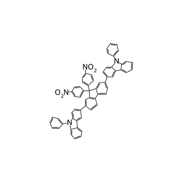 O=[N+]([O-])c1ccc(C2(c3ccc([N+](=O)[O-])cc3)c3cc(-c4ccc5c(c4)c4ccccc4n5-c4ccccc4)ccc3-c3ccc(-c4ccc5c(c4)c4ccccc4n5-c4ccccc4)cc32)cc1